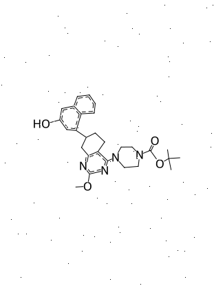 COc1nc2c(c(N3CCN(C(=O)OC(C)(C)C)CC3)n1)CCC(c1cc(O)cc3ccccc13)C2